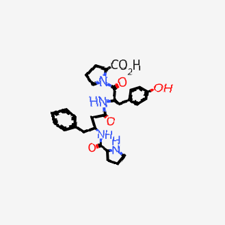 O=C(CC(Cc1ccccc1)NC(=O)C1CCCN1)NC(Cc1ccc(O)cc1)C(=O)N1CCCC1C(=O)O